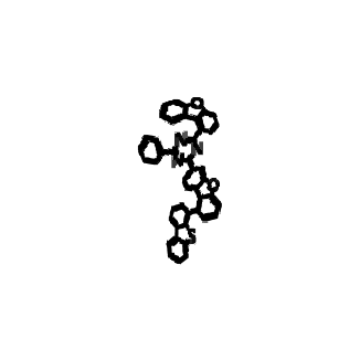 c1ccc(-c2nc(-c3ccc4c(c3)oc3cccc(-c5cccc6c5sc5ccccc56)c34)nc(-c3cccc4oc5ccccc5c34)n2)cc1